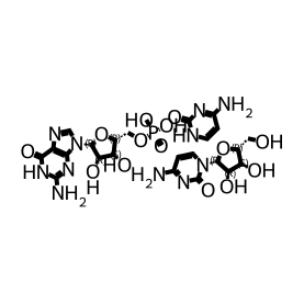 Nc1cc[nH]c(=O)n1.Nc1ccn([C@@H]2O[C@H](CO)[C@@H](O)[C@H]2O)c(=O)n1.Nc1nc2c(ncn2[C@@H]2O[C@H](COP(=O)(O)O)[C@@H](O)[C@H]2O)c(=O)[nH]1